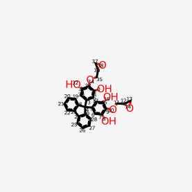 Oc1cc(C2(c3cc(O)c(OCC4CO4)c(O)c3)c3ccccc3-c3ccccc32)cc(O)c1OCC1CO1